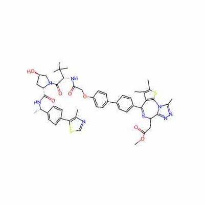 COC(=O)CC1N=C(c2ccc(-c3ccc(OCC(=O)N[C@H](C(=O)N4C[C@H](O)C[C@H]4C(=O)N[C@@H](C)c4ccc(-c5scnc5C)cc4)C(C)(C)C)cc3)cc2)c2c(sc(C)c2C)-n2c(C)nnc21